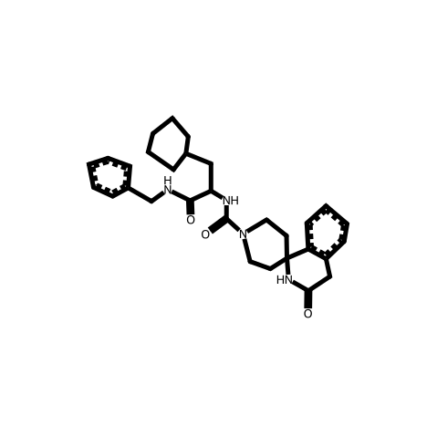 O=C1Cc2ccccc2C2(CCN(C(=O)NC(CC3CCCCC3)C(=O)NCc3ccccc3)CC2)N1